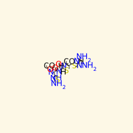 CN1C(SCC2=C(C(=O)O)N3C(=O)C(NC(=O)/C(=N\OCC(=O)O)c4csc(N)n4)[C@@H]3SC2)=NC(N)=CC1N